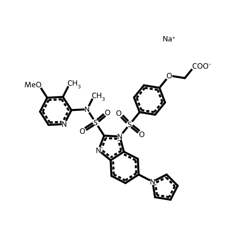 COc1ccnc(N(C)S(=O)(=O)c2nc3ccc(-n4cccc4)cc3n2S(=O)(=O)c2ccc(OCC(=O)[O-])cc2)c1C.[Na+]